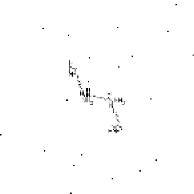 Cc1[nH]cnc1CCSCCN=C(N)NCCCCCNC(N)=NCCSCCc1nc[nH]c1C